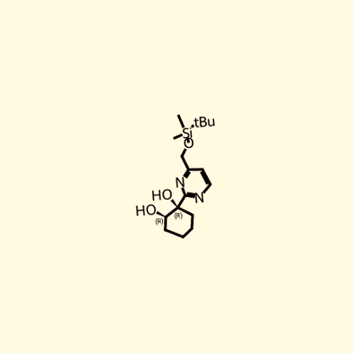 CC(C)(C)[Si](C)(C)OCc1ccnc([C@]2(O)CCCC[C@H]2O)n1